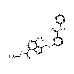 CCOC(=O)c1cnc(N)c2c(COc3cccc(C(=O)Nc4ccccc4)c3)csc12